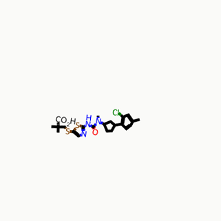 Cc1ccc(C2CCC(N(C)C(=O)Nc3ncc(SCC(C)(C)C(=O)O)s3)C2)c(Cl)c1